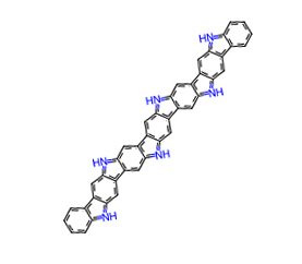 c1ccc2c(c1)[nH]c1cc3c(cc12)[nH]c1cc2c(cc13)[nH]c1cc3c(cc12)[nH]c1cc2c(cc13)[nH]c1cc3c(cc12)[nH]c1ccccc13